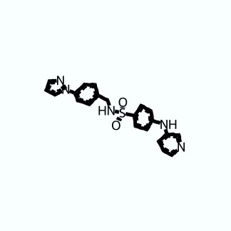 O=S(=O)(NCc1ccc(-n2cccn2)cc1)c1ccc(Nc2cccnc2)cc1